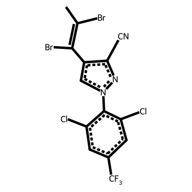 CC(Br)=C(Br)c1cn(-c2c(Cl)cc(C(F)(F)F)cc2Cl)nc1C#N